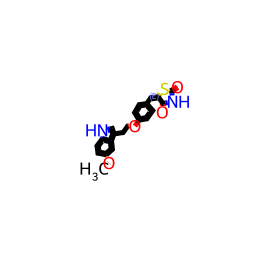 COc1ccc2[nH]cc(CCOc3ccc(/C=C4/SC(=O)NC4=O)cc3)c2c1